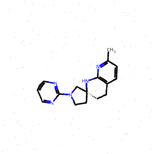 Cc1ccc2c(n1)N[C@@]1(CC2)CCN(c2ncccn2)C1